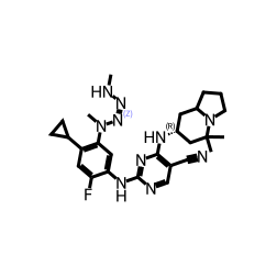 CN/N=N\N(C)c1cc(Nc2ncc(C#N)c(N[C@@H]3CC4CCCN4C(C)(C)C3)n2)c(F)cc1C1CC1